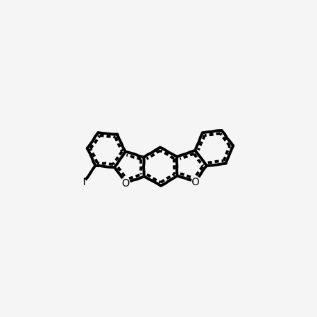 Ic1cccc2c1oc1cc3oc4ccccc4c3cc12